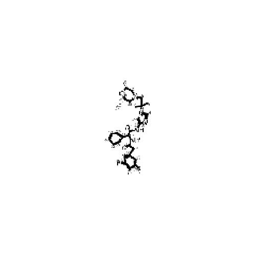 C[C@@H]1CN(CC(C)(C)n2cnc(NC(=O)C(NC(=O)Cc3cc(F)cc(F)c3)c3ccccc3)c2)C[C@H](C)O1